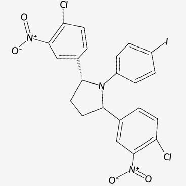 O=[N+]([O-])c1cc(C2CC[C@H](c3ccc(Cl)c([N+](=O)[O-])c3)N2c2ccc(I)cc2)ccc1Cl